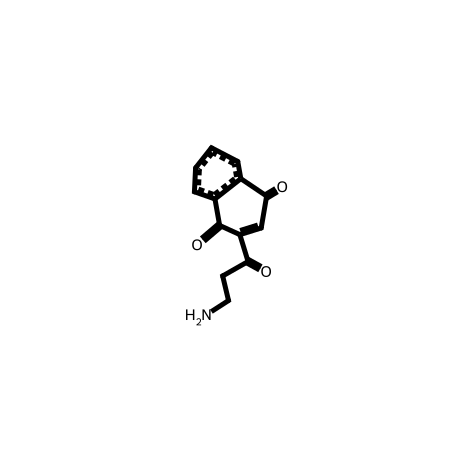 NCCC(=O)C1=CC(=O)c2ccccc2C1=O